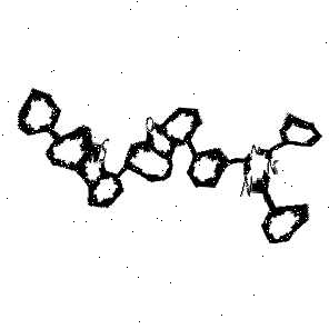 C1=CCC(c2nc(-c3ccccc3)nc(-c3cccc(-c4cccc5oc6cc(-c7cccc8c7sc7cc(-c9ccccc9)ccc78)ccc6c45)c3)n2)C=C1